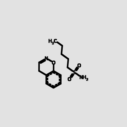 C1=NOc2ccccc2C1.CCCCCS(N)(=O)=O